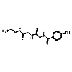 NCCNC(=S)CNC(=S)CNC(=S)c1ccc(O)cc1